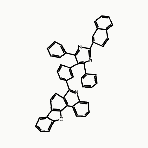 c1ccc(-c2nc(-c3ccc4ccccc4c3)nc(-c3ccccc3)c2-c2cccc(-c3nc4ccccc4c4c3ccc3c5ccccc5oc34)c2)cc1